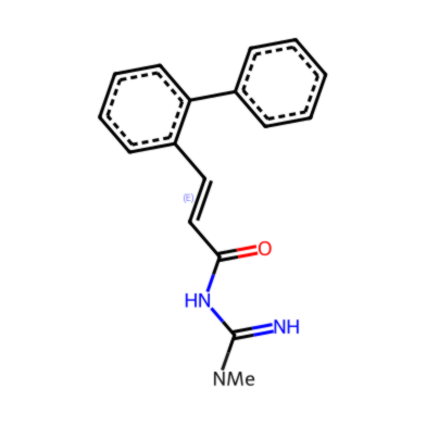 CNC(=N)NC(=O)/C=C/c1ccccc1-c1ccccc1